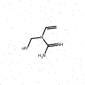 C=CN(CCCC)C(=N)N